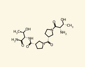 C[C@@H](O)[C@H](N)C(=O)N1CC[C@@H](C(=O)N2CC[C@H](C(=O)N[C@H](C(N)=O)[C@@H](C)O)C2)C1